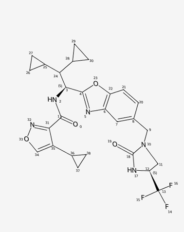 O=C(N[C@H](c1nc2cc(CN3C[C@@H](C(F)(F)F)NC3=O)ccc2o1)C(C1CC1)C1CC1)c1nocc1C1CC1